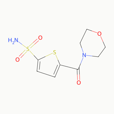 NS(=O)(=O)c1ccc(C(=O)N2CCOCC2)s1